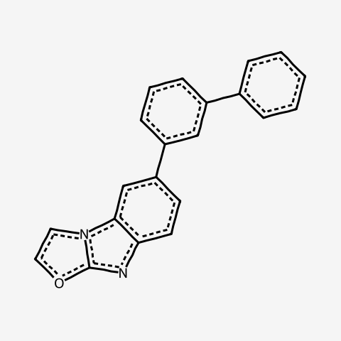 c1ccc(-c2cccc(-c3ccc4nc5occn5c4c3)c2)cc1